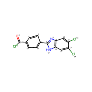 O=C(Cl)c1ccc(-c2nc3cc(Cl)c(Cl)cc3[nH]2)cc1